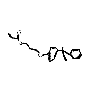 C=CC(=O)OCCCOc1ccc(C(C)(C)c2ccccc2)cc1